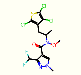 CON(C(=O)c1cn(C)nc1C(F)F)C(C)Cc1c(Cl)sc(Cl)c1Cl